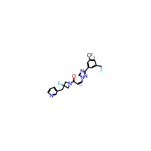 O=C(/C=C\n1cnc(-c2cc(CF)cc(C(F)(F)F)c2)n1)N1CC(F)(Cc2cccnc2)C1